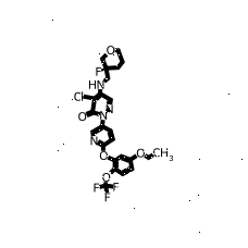 CCOc1ccc(OC(F)(F)F)c(Oc2ccc(-n3ncc(NC[C@@]4(F)CCCOC4)c(Cl)c3=O)cn2)c1